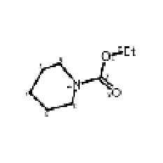 C[CH]OC(=O)N1CCCCC1